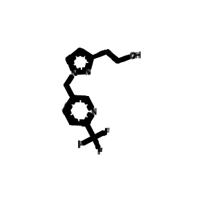 OCCc1ccn(Cc2ccc(C(F)(F)F)nc2)n1